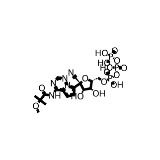 COC(C)(C)C(=O)Nc1ncnn2c([C@]3(C#N)O[C@H](COP(=O)(O)OP(=O)(O)OP(=O)(O)O)[C@@H](O)[C@H]3O)ccc12